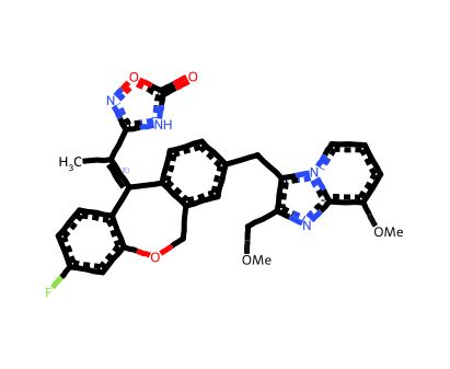 COCc1nc2c(OC)cccn2c1Cc1ccc2c(c1)COc1cc(F)ccc1/C2=C(\C)c1noc(=O)[nH]1